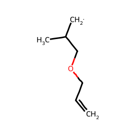 [CH2]C(C)COCC=C